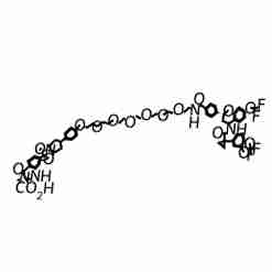 O=C(O)CN1CNc2cc(S(=O)(=O)N3CCC(c4ccc(OCCOCCOCCOCCOCCOCCOCCNC(=O)c5ccc([C@H]6C[C@@H](NC(=O)C7(c8ccc9c(c8)OC(F)(F)O9)CC7)c7ccc(OC(F)F)cc7O6)cc5)cc4)CC3)ccc2C1=O